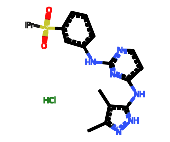 Cc1n[nH]c(Nc2ccnc(Nc3cccc(S(=O)(=O)C(C)C)c3)n2)c1C.Cl